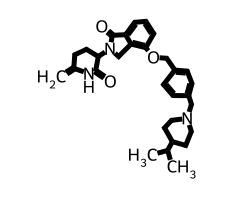 C=C1CCC(N2Cc3c(OCc4ccc(CN5CCC(C(C)C)CC5)cc4)cccc3C2=O)C(=O)N1